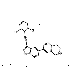 Clc1cccc(Cl)c1C#Cc1c[nH]c2ncc(-c3ccc4c(c3)CNCC4)cc12